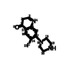 O=C1CC=Nc2cc(N3CCNCC3)c(F)cc21